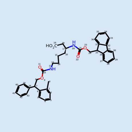 Cc1ccccc1C(COC(=O)NCCCC[C@@H](CC(=O)O)NC(=O)OCC1c2ccccc2-c2ccccc21)c1ccccc1